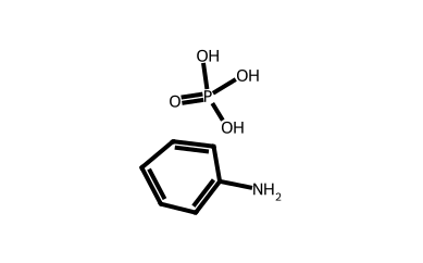 Nc1ccccc1.O=P(O)(O)O